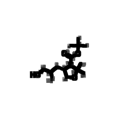 CC(C)(C)OC(=O)N1[C@H](CC(F)CO)COC1(C)C